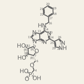 O=P(O)(O)COC[C@H]1O[C@@H](n2cnc3c(NCc4ccccc4)nc(-c4cn[nH]c4)nc32)[C@H](O)[C@@H]1O